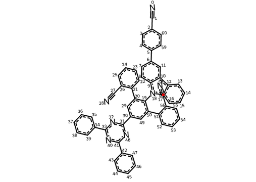 N#Cc1ccc(-c2ccc3c(c2)c2ccccc2n3-c2c(-c3ccccc3C#N)cc(-c3nc(-c4ccccc4)nc(-c4ccccc4)n3)cc2-c2ccccc2C#N)cc1